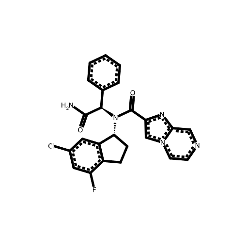 NC(=O)[C@@H](c1ccccc1)N(C(=O)c1cn2ccncc2n1)[C@@H]1CCc2c(F)cc(Cl)cc21